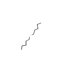 CCCCC[N-]CCCCC.[K+]